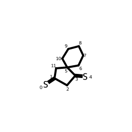 S=C1CC(=S)C2(CCCCC2)C1